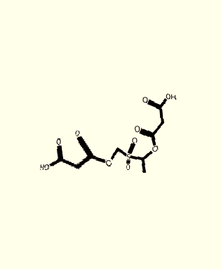 CC(OC(=O)CC(=O)O)S(=O)(=O)COC(=O)CC(=O)O